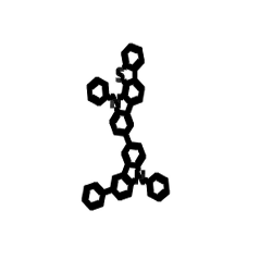 c1ccc(-c2ccc3c(c2)c2cc(-c4ccc5c(c4)c4ccc6c7ccccc7sc6c4n5-c4ccccc4)ccc2n3-c2ccccc2)cc1